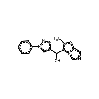 OC(c1cn(-c2ccccc2)nn1)c1c(C(F)(F)F)sc2cncn12